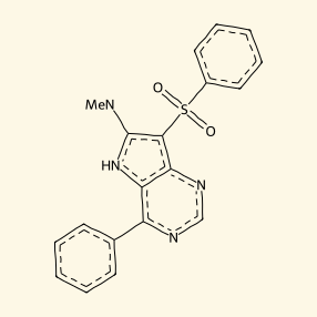 CNc1[nH]c2c(-c3ccccc3)ncnc2c1S(=O)(=O)c1ccccc1